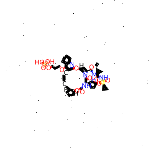 C=C[C@@H]1C[C@]1(NC(=O)[C@@H]1C[C@@H]2CN1C(=O)[C@H](C1CCCC1)NC(=O)O[C@@H]1CCC[C@H]1CCC=CCc1c(nc3ccccc3c1OCCCOP(=O)(O)O)O2)C(=O)NS(=O)(=O)C1CC1